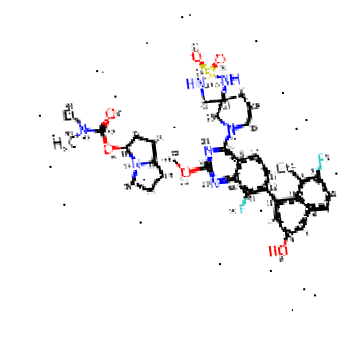 CCc1c(F)ccc2cc(O)cc(-c3ccc4c(N5CCCC6(CNS(=O)(=O)N6)C5)nc(OC[C@]56CCCN5[C@@H](OC(=O)N(C)CC)CC6)nc4c3F)c12